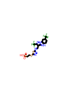 O=S(=O)(O)CCSc1nnc(/N=C/c2c(C(F)(F)F)nn3c2[nH]c2ccc(C(F)(F)F)cc23)s1